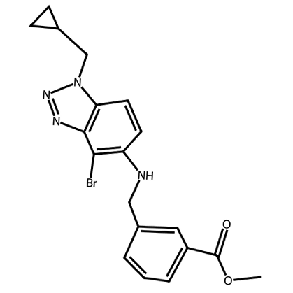 COC(=O)c1cccc(CNc2ccc3c(nnn3CC3CC3)c2Br)c1